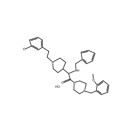 COc1ccccc1CN1CCN(C(=O)C(NCc2ccccc2)C2CCN(CCc3cccc(Cl)c3)CC2)CC1.Cl